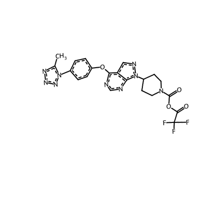 Cc1nnnn1-c1ccc(Oc2ncnc3c2cnn3C2CCN(C(=O)OC(=O)C(F)(F)F)CC2)cc1